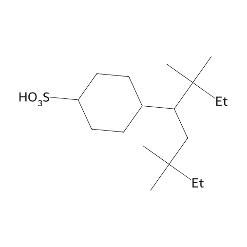 CCC(C)(C)CC(C1CCC(S(=O)(=O)O)CC1)C(C)(C)CC